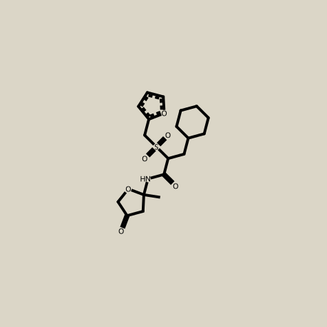 CC1(NC(=O)C(CC2CCCCC2)S(=O)(=O)Cc2ccco2)CC(=O)CO1